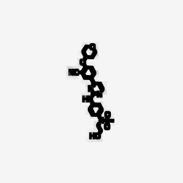 CS(=O)(=O)N(CCO)c1ccc(Nc2nccc(-c3ccc(OC4CCOCC4)c(C#N)c3)n2)cc1